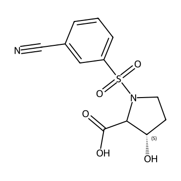 N#Cc1cccc(S(=O)(=O)N2CC[C@H](O)C2C(=O)O)c1